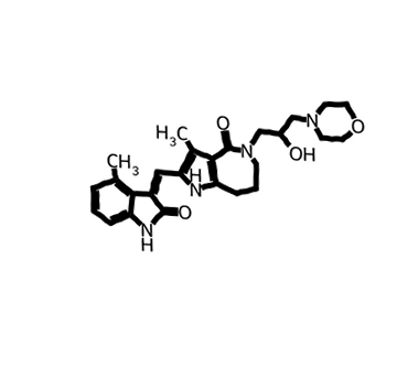 Cc1cccc2c1C(=Cc1[nH]c3c(c1C)C(=O)N(CC(O)CN1CCOCC1)CCC3)C(=O)N2